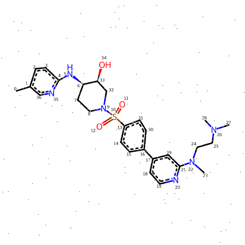 Cc1ccc(N[C@@H]2CCN(S(=O)(=O)c3ccc(-c4ccnc(N(C)CCN(C)C)c4)cc3)C[C@@H]2O)nc1